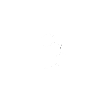 CCC(=CC(=O)OC)Nc1ccccc1